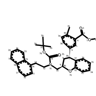 COC(=O)c1cc([C@H]2C[C@H](CN(CCc3cccc4ccccc34)C(=O)OC(C)(C)C)Oc3ccccc32)ccc1C